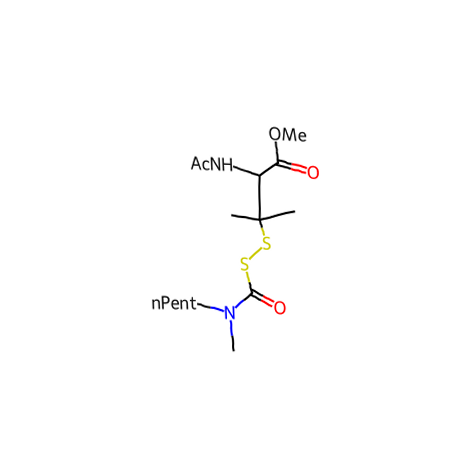 CCCCCN(C)C(=O)SSC(C)(C)C(NC(C)=O)C(=O)OC